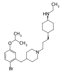 CCN[C@H]1CC[C@@H](CCCN2CCC(Cc3cc(OC(C)C)ccc3Br)CC2)CC1